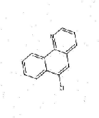 Clc1cc2cccnc2c2ccccc12